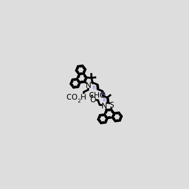 CC(/C=C/C=C/C1=[N+](CCC(=O)O)c2c(c3ccccc3c3ccccc23)C1(C)C)=C1\Sc2c(c3ccccc3c3ccccc23)N1CCOC=O